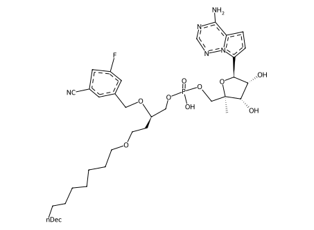 CCCCCCCCCCCCCCCCCOCC[C@H](COP(=O)(O)OC[C@@]1(C)O[C@@H](c2ccc3c(N)ncnn23)[C@H](O)[C@@H]1O)OCc1cc(F)cc(C#N)c1